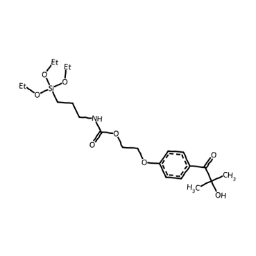 CCO[Si](CCCNC(=O)OCCOc1ccc(C(=O)C(C)(C)O)cc1)(OCC)OCC